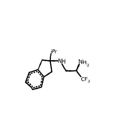 CC(C)C1(NCC(N)C(F)(F)F)Cc2ccccc2C1